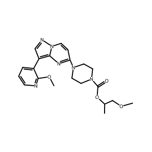 COCC(C)OC(=O)N1CCN(c2ccn3ncc(-c4cccnc4OC)c3n2)CC1